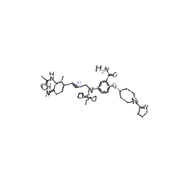 CC(=O)NC1=C(C)C(/C=C/CN(c2ccc(OC3CCN(C4=NCCC4)CC3)c(C(N)=O)c2)S(C)(=O)=O)=CCC1=N